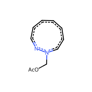 CC(=O)OCn1cccccccn1